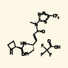 CC(C)C[C@@H](/C=C/C(=O)N(C)c1nnc(C(F)(F)F)s1)NC(=O)[C@@H]1CCN1.O=C(O)C(F)(F)F